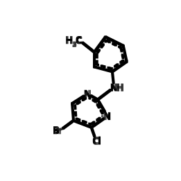 Cc1cccc(Nc2ncc(Br)c(Cl)n2)c1